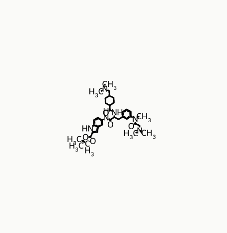 CN(C)CC(=O)N(C)c1cccc(CC(NC(=O)C2CCC(CN(C)C)CC2)C(=O)Nc2ccc3[nH]c(C(=O)OC(C)(C)C)cc3c2)c1